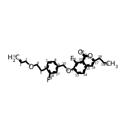 C=CCOCCc1ccc(COc2ccc3cc(CCC)oc(=O)c3c2F)cc1F